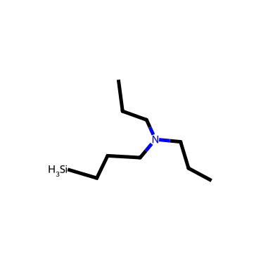 CCCN(CCC)CCC[SiH3]